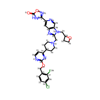 O=c1[nH]c(-c2cc3nc(CN4CCC(c5ccnc(OCc6ccc(Cl)cc6F)n5)CC4)n(CC4CCO4)c3cn2)no1